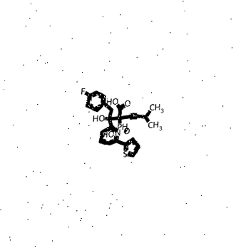 CC(C)C#CC(C(=O)O)([PH](=O)O)C(O)(Cc1ccc(F)cc1)c1cccc(-c2cccs2)n1